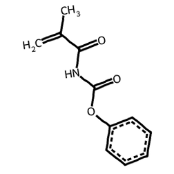 C=C(C)C(=O)NC(=O)Oc1ccccc1